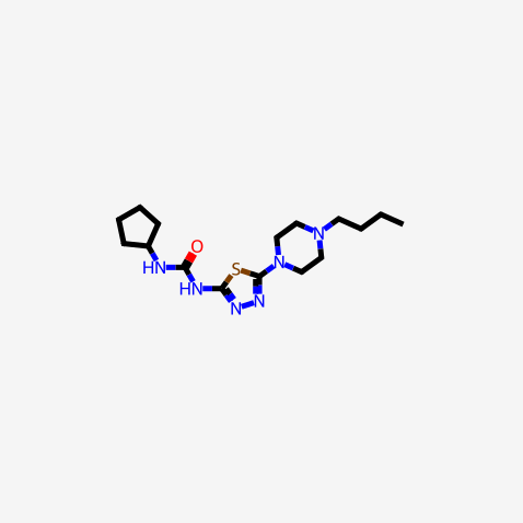 CCCCN1CCN(c2nnc(NC(=O)NC3CCCC3)s2)CC1